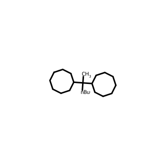 CCC[CH]C(C)(C1CCCCCCC1)C1CCCCCCC1